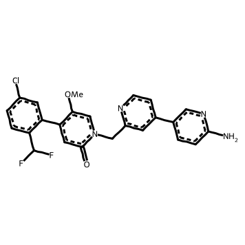 COc1cn(Cc2cc(-c3ccc(N)nc3)ccn2)c(=O)cc1-c1cc(Cl)ccc1C(F)F